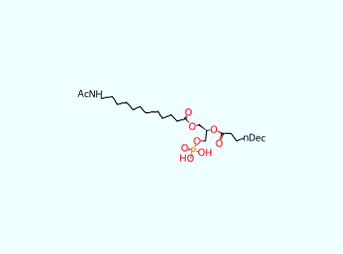 CCCCCCCCCCCCC(=O)O[C@H](COC(=O)CCCCCCCCCCCNC(C)=O)COP(=O)(O)O